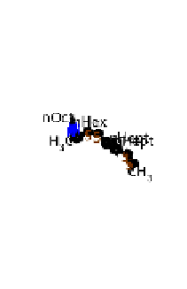 CCCCCCCCC(CCCCCC)Cn1nc2c(C)ccc(-c3ccc(-c4ccc(-c5ccc6c(c5)C(CCCCCCC)(CCCCCCC)c5cc(-c7ccc(-c8ccc(C)s8)s7)ccc5-6)s4)s3)c2n1